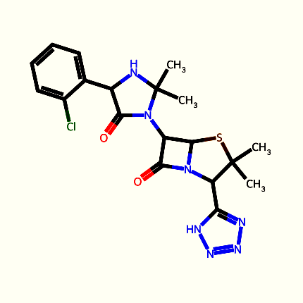 CC1(C)SC2C(N3C(=O)C(c4ccccc4Cl)NC3(C)C)C(=O)N2C1c1nnn[nH]1